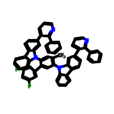 Fc1cc(F)cc(-c2cc(-n3c4ccccc4c4ccc(-c5cccnc5-c5ccccc5)cc43)c(C(F)(F)F)cc2-n2c3ccccc3c3ccc(-c4cccnc4-c4ccccc4)cc32)c1